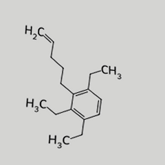 C=CCCCc1c(CC)ccc(CC)c1CC